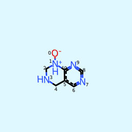 [O-][NH+]1CNCc2cncnc21